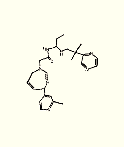 CC[C@@H](NCC(C)(C)c1cnccn1)NC(=O)CN1C=NC(c2ccnc(C)c2)C=CC1